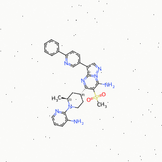 C[C@H]1C[C@H](c2nc3c(-c4ccc(-c5ccccc5)nc4)cnn3c(N)c2S(C)(=O)=O)CCN1c1ncccc1N